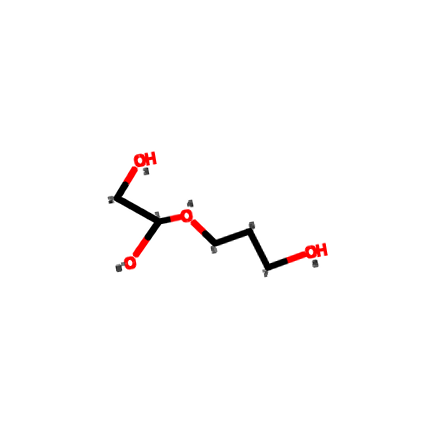 [O]C(CO)OCCCO